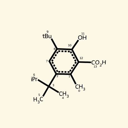 Cc1c(C(C)(C)C(C)C)cc(C(C)(C)C)c(O)c1C(=O)O